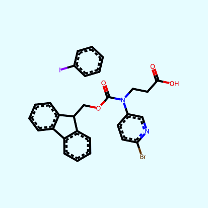 Ic1ccccc1.O=C(O)CCN(C(=O)OCC1c2ccccc2-c2ccccc21)c1ccc(Br)nc1